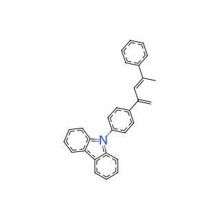 C=C(/C=C(\C)c1ccccc1)c1ccc(-n2c3ccccc3c3ccccc32)cc1